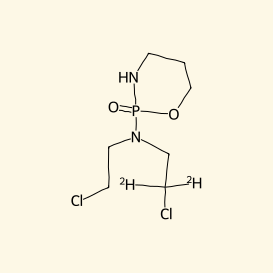 [2H]C([2H])(Cl)CN(CCCl)P1(=O)NCCCO1